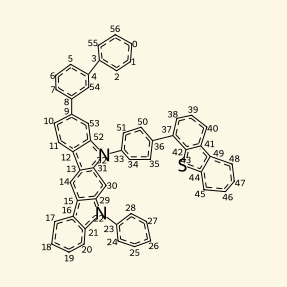 c1ccc(-c2cccc(-c3ccc4c5cc6c7ccccc7n(-c7ccccc7)c6cc5n(-c5ccc(-c6cccc7c6sc6ccccc67)cc5)c4c3)c2)cc1